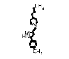 CCCCC1CCN(CCCC(NO)c2ccc(C)cc2)CC1